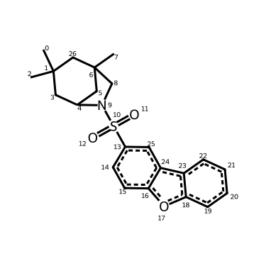 CC1(C)CC2CC(C)(CN2S(=O)(=O)c2ccc3oc4ccccc4c3c2)C1